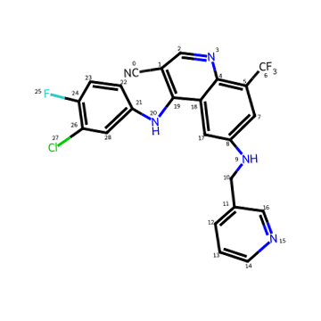 N#Cc1cnc2c(C(F)(F)F)cc(NCc3cccnc3)cc2c1Nc1ccc(F)c(Cl)c1